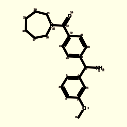 COc1cccc(C(N)c2ccc(C(=O)N3CCCCCC3)cc2)c1